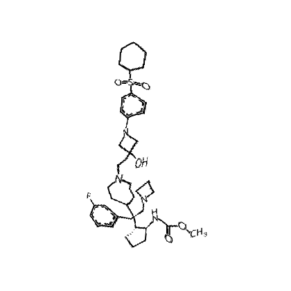 COC(=O)N[C@H]1CCC[C@@H]1[C@](CN1CCC1)(c1cccc(F)c1)C1CCN(CC2(O)CN(c3ccc(S(=O)(=O)C4CCCCC4)cc3)C2)CC1